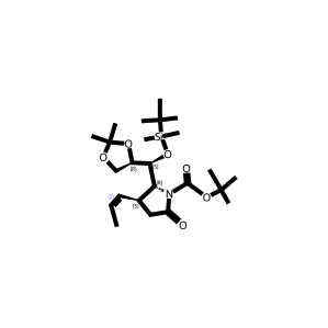 C/C=C\[C@@H]1CC(=O)N(C(=O)OC(C)(C)C)[C@H]1[C@H](O[Si](C)(C)C(C)(C)C)[C@H]1COC(C)(C)O1